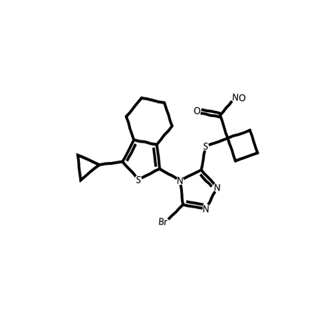 O=NC(=O)C1(Sc2nnc(Br)n2-c2sc(C3CC3)c3c2CCCC3)CCC1